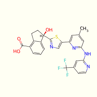 Cc1cc(Nc2cc(C(F)(F)F)ccn2)nc(-c2cnc([C@@]3(O)CCc4c(C(=O)O)cccc43)s2)c1